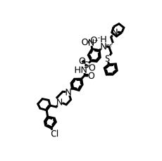 O=C(NS(=O)(=O)c1ccc(N[C@H](CCN2C3CCC2CC3)CSc2ccccc2)c([N+](=O)[O-])c1)c1ccc(N2CCN(CC3=C(c4ccc(Cl)cc4)CCCC3)CC2)cc1